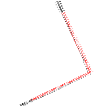 [O-2].[O-2].[O-2].[O-2].[O-2].[O-2].[O-2].[O-2].[O-2].[O-2].[O-2].[O-2].[O-2].[O-2].[O-2].[O-2].[O-2].[O-2].[O-2].[O-2].[O-2].[O-2].[O-2].[O-2].[O-2].[O-2].[O-2].[O-2].[O-2].[O-2].[O-2].[O-2].[O-2].[O-2].[O-2].[O-2].[O-2].[O-2].[O-2].[O-2].[O-2].[O-2].[O-2].[O-2].[O-2].[O-2].[O-2].[O-2].[O-2].[O-2].[O-2].[O-2].[O-2].[Ti+4].[Ti+4].[Ti+4].[Ti+4].[Ti+4].[Ti+4].[Ti+4].[Ti+4].[Ti+4].[Ti+4]